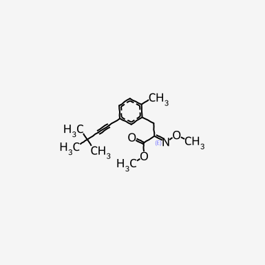 CO/N=C(\Cc1cc(C#CC(C)(C)C)ccc1C)C(=O)OC